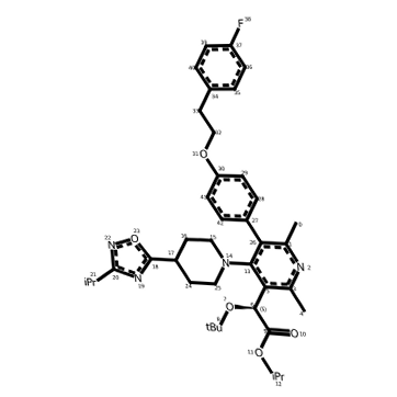 Cc1nc(C)c([C@H](OC(C)(C)C)C(=O)OC(C)C)c(N2CCC(c3nc(C(C)C)no3)CC2)c1-c1ccc(OCCc2ccc(F)cc2)cc1